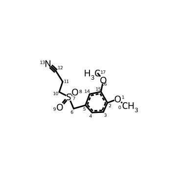 COc1ccc(CS(=O)(=O)CCC#N)cc1OC